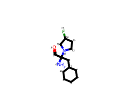 NC(C=O)(CC1CCCCC1)N1CCC(F)C1